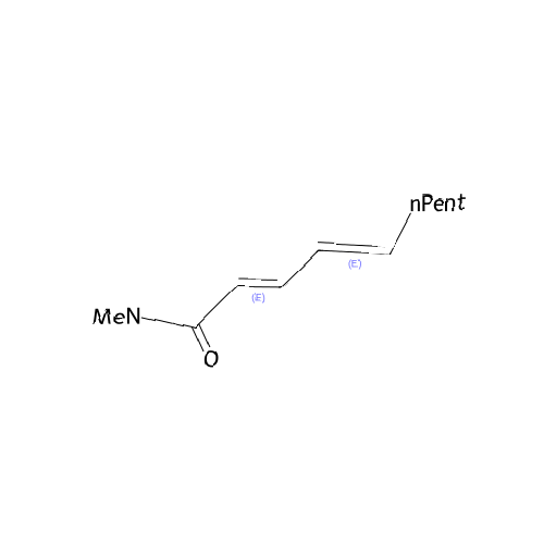 CCCCC/C=C/C=C/C(=O)NC